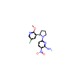 COc1ncc(F)cc1[C@H]1CCCN1c1ccc([N+](=O)[O-])c(N)n1